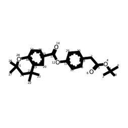 CC(C)(C)OC(=O)Cc1ccc(OC(=O)c2ccc3c(c2)C(C)(C)CC(C)(C)O3)cc1